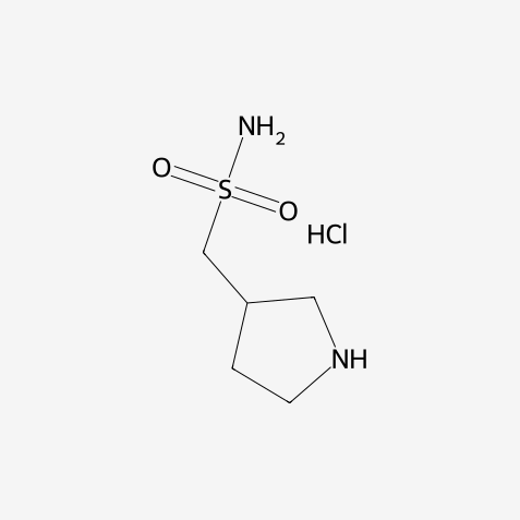 Cl.NS(=O)(=O)CC1CCNC1